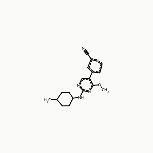 COc1nc(NC2CCC(C)CC2)ncc1-c1ccnc(C#N)c1